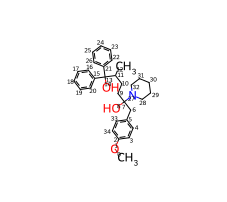 COc1ccc(CC(O)(CCC(C)C(O)(c2ccccc2)c2ccccc2)N2CCCCC2)cc1